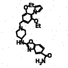 CCOc1cc(CN2CCC(Nc3nc4cc(C(N)=O)ccc4o3)CC2)cc(OCC)c1-n1cccc1